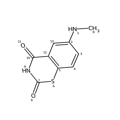 CNc1ccc2sc(=O)[nH]c(=O)c2c1